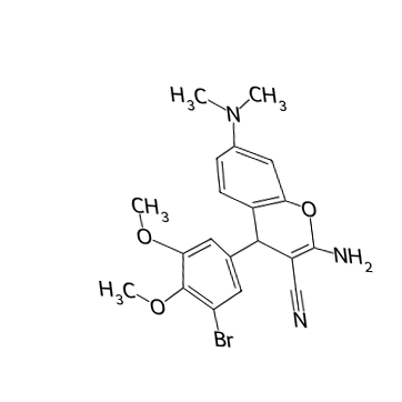 COc1cc(C2C(C#N)=C(N)Oc3cc(N(C)C)ccc32)cc(Br)c1OC